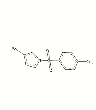 Cc1ccc(S(=O)(=O)n2ccc(Br)c2)cc1